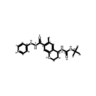 Cc1cc2c(cc1C(=O)NSc1ccncc1)OCCC2NC(=O)OC(C)(C)C